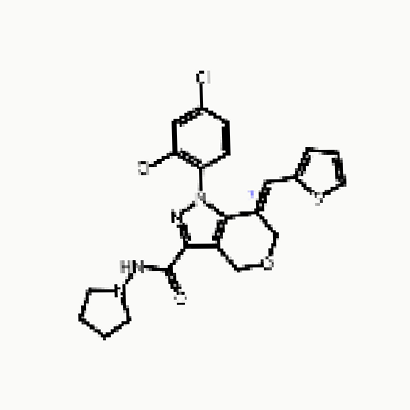 O=C(NN1CCCC1)c1nn(-c2ccc(Cl)cc2Cl)c2c1COC/C2=C\c1cccs1